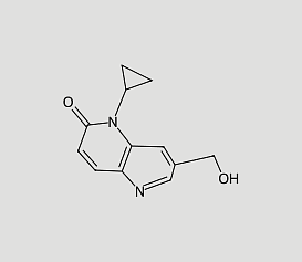 O=c1ccc2ncc(CO)cc2n1C1CC1